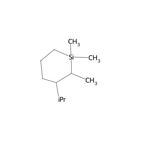 CC(C)C1CCC[Si](C)(C)C1C